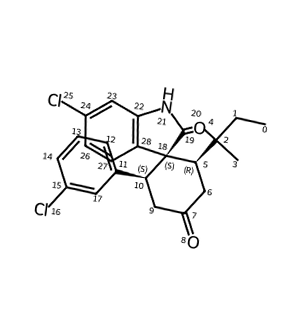 CCC(C)(C)[C@H]1CC(=O)C[C@@H](c2cccc(Cl)c2)[C@@]12C(=O)Nc1cc(Cl)ccc12